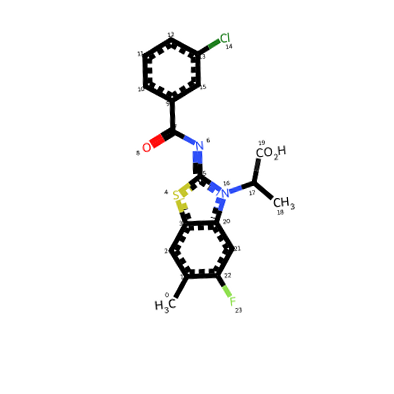 Cc1cc2sc(=NC(=O)c3cccc(Cl)c3)n(C(C)C(=O)O)c2cc1F